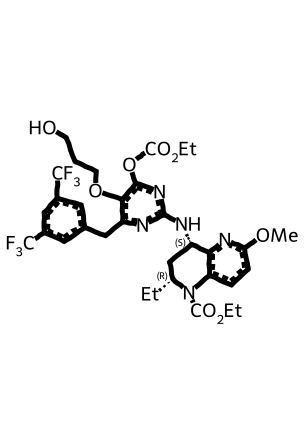 CCOC(=O)Oc1nc(N[C@H]2C[C@@H](CC)N(C(=O)OCC)c3ccc(OC)nc32)nc(Cc2cc(C(F)(F)F)cc(C(F)(F)F)c2)c1OCCCO